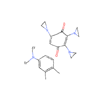 CCN(CC)c1ccc(C)c(C)c1.O=C1C=C(N2CC2)C(=O)C(N2CC2)=C1N1CC1